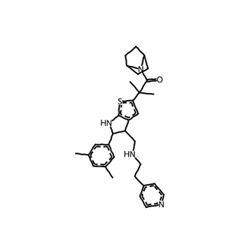 Cc1cc(C)cc(C2Nc3sc(C(C)(C)C(=O)N4C5CCC4CC5)cc3C2CNCCc2ccncc2)c1